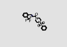 O=C(/C=C/c1ccccc1C(F)(F)F)N1CCN(S(=O)(=O)c2ccccc2)CC1